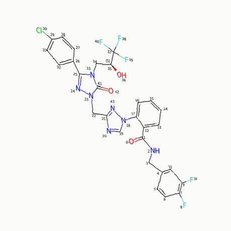 O=C(NCc1ccc(F)c(F)c1)c1ccccc1-n1cnc(Cn2nc(-c3ccc(Cl)cc3)n(C[C@H](O)C(F)(F)F)c2=O)n1